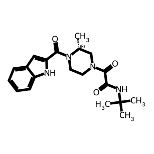 C[C@@H]1CN(C(=O)C(=O)NC(C)(C)C)CCN1C(=O)c1cc2ccccc2[nH]1